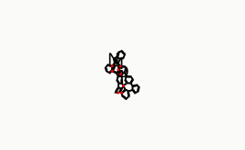 c1ccc(-c2nc3ccccc3n2-c2ccc(-c3ccc4c(c3)C3(c5ccccc5-c5ccccc5-4)c4ccccc4-c4cc5c(cc43)oc3ccccc35)cc2)cc1